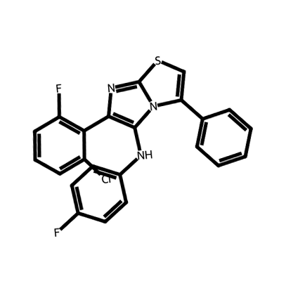 Fc1ccc(Nc2c(-c3c(F)cccc3Cl)nc3scc(-c4ccccc4)n23)cc1